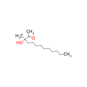 CCCCCCCCCCC(C)(O)C(C)=O